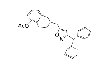 CC(=O)Oc1cccc2c1CCC(Cc1cc(C(c3ccccc3)c3ccccc3)no1)C2